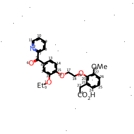 CCOc1cc(C(=O)c2ccccn2)ccc1OCCOc1c(CC(=O)O)cccc1OC